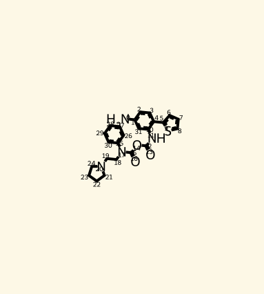 Nc1ccc(-c2cccs2)c(NC(=O)OC(=O)N(CCN2CCCC2)c2ccccc2)c1